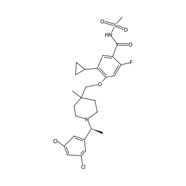 C[C@@H](c1cc(Cl)cc(Cl)c1)N1CCC(C)(COc2cc(F)c(C(=O)NS(C)(=O)=O)cc2C2CC2)CC1